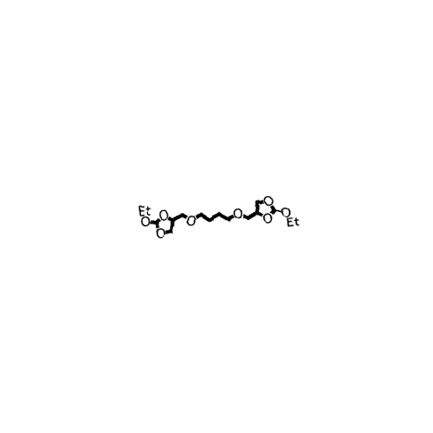 CCOC1OCC(COCCCCOCC2CO[C@@H](OCC)O2)O1